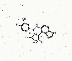 N#Cc1cc([C@@H]2Nc3ccc4[nH]cnc4c3[C@H]3[C@@H]4CC[C@@H](C4)[C@H]32)ccc1F